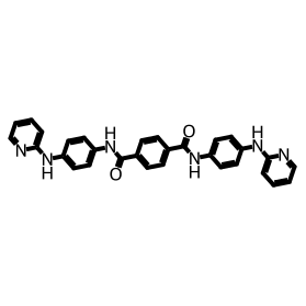 O=C(Nc1ccc(Nc2ccccn2)cc1)c1ccc(C(=O)Nc2ccc(Nc3ccccn3)cc2)cc1